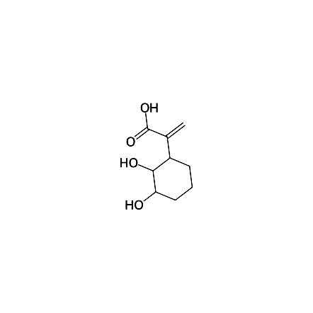 C=C(C(=O)O)C1CCCC(O)C1O